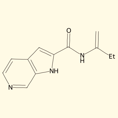 C=C(CC)NC(=O)c1cc2ccncc2[nH]1